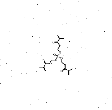 C=C(C)C(=O)CCOP(=O)(OCCC(=O)C(=C)C)OCCC(=O)C(=C)C